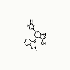 N#Cc1cnn2cc(-c3cn[nH]c3)cc(SC3CC=CC=C3N)c12